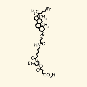 CC[C@@H]1C[C@@H](OC(=O)CCC(=O)O)CN1C(=O)CCCCCNC(=O)CCSS[C@H]1CC[C@@]2(C)C(=CCC3C2CC[C@@]2(C)C3CC[C@@H]2[C@H](C)CCCC(C)C)C1